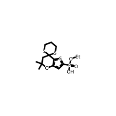 CCOP(=O)(O)c1cc2c(s1)C1(CC(C)(C)O2)SCCCS1